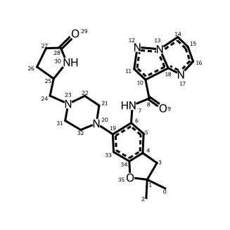 CC1(C)Cc2cc(NC(=O)c3cnn4cccnc34)c(N3CCN(CC4CCC(=O)N4)CC3)cc2O1